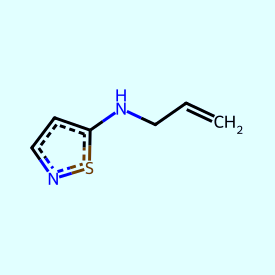 C=CCNc1ccns1